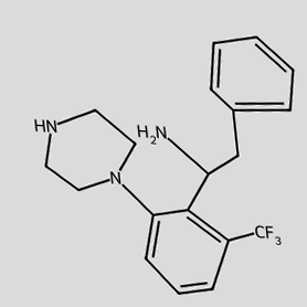 NC(Cc1ccccc1)c1c(N2CCNCC2)cccc1C(F)(F)F